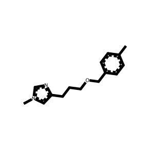 Cc1ccc(COCCCc2cn(C)cn2)cc1